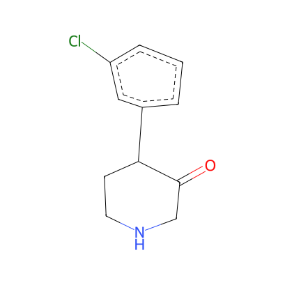 O=C1CNCCC1c1cccc(Cl)c1